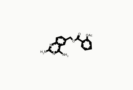 CC(=O)Oc1ccccc1C(=O)OCc1ccc2nc(N)nc(N)c2c1